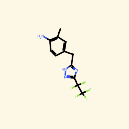 Cc1cc(Cc2nc(C(F)(F)C(F)(F)F)n[nH]2)ccc1N